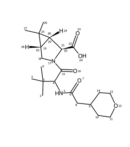 CC(C)(C)C(NC(=O)CC1CCOCC1)C(=O)N1C[C@H]2[C@@H]([C@H]1C(=O)O)C2(C)C